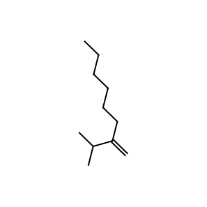 C=C(CCCCCC)C(C)C